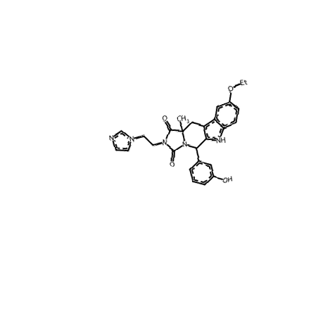 CCOc1ccc2[nH]c3c(c2c1)CC1(C)C(=O)N(CCn2ccnc2)C(=O)N1C3c1cccc(O)c1